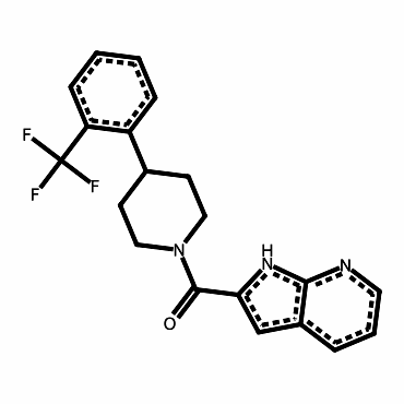 O=C(c1cc2cccnc2[nH]1)N1CCC(c2ccccc2C(F)(F)F)CC1